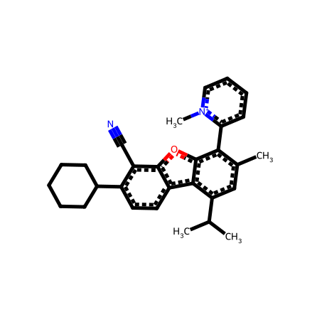 Cc1cc(C(C)C)c2c(oc3c(C#N)c(C4CCCCC4)ccc32)c1-c1cccc[n+]1C